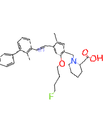 Cc1cc(CN2CCCCC2C(=O)O)c(OCCCCF)cc1/C=C/c1cccc(-c2ccccc2)c1C